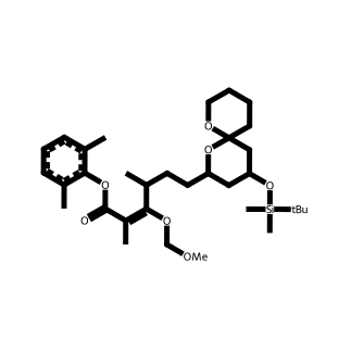 COCOC(=C(C)C(=O)Oc1c(C)cccc1C)C(C)CCC1CC(O[Si](C)(C)C(C)(C)C)CC2(CCCCO2)O1